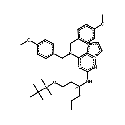 CCC[C@@H](CCO[Si](C)(C)C(C)(C)C)Nc1nc(N(Cc2ccc(OC)cc2)Cc2ccc(OC)cc2)c2nccn2n1